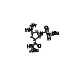 CC(C)NC1CC(C(=O)NC(C)(C)C)C2C1N2C(=O)NC(C)(C)C